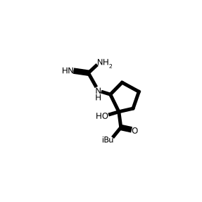 CCC(C)C(=O)C1(O)CCCC1NC(=N)N